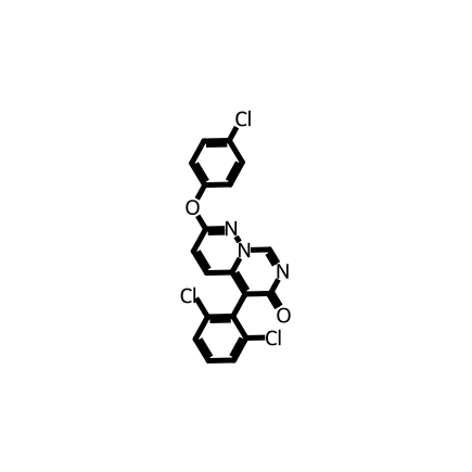 O=c1ncn2nc(Oc3ccc(Cl)cc3)ccc2c1-c1c(Cl)cccc1Cl